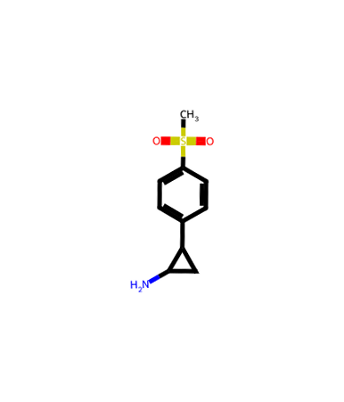 CS(=O)(=O)c1ccc(C2CC2N)cc1